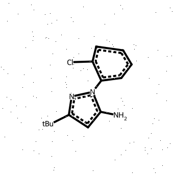 CC(C)(C)c1cc(N)n(-c2ccccc2Cl)n1